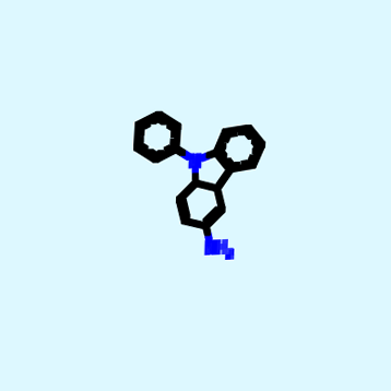 NC1=CC2c3ccccc3N(c3ccccc3)C2C=C1